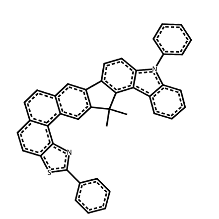 CC1(C)c2cc3c(ccc4ccc5sc(-c6ccccc6)nc5c43)cc2-c2ccc3c(c21)c1ccccc1n3-c1ccccc1